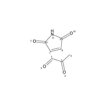 CC(=O)C=O.O=C1C=CC(=O)N1